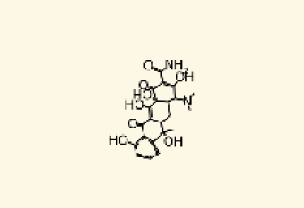 CN(C)C1C(O)=C(C(N)=O)C(=O)[C@@]2(O)C(O)=C3C(=O)c4c(O)cccc4C(C)(O)C3CC12